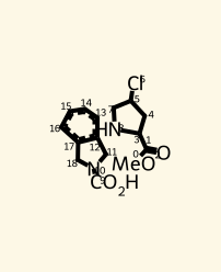 COC(=O)C1CC(Cl)CN1.O=C(O)N1Cc2ccccc2C1